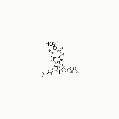 CC(=O)O.CCCCCCC[PH](CCCCCCC)(CCCCCCC)CCCCCCC